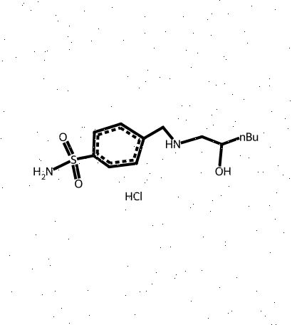 CCCCC(O)CNCc1ccc(S(N)(=O)=O)cc1.Cl